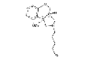 COc1cccc2c1[C@@H]1CN(CCCCC#N)C[C@H]1CO2